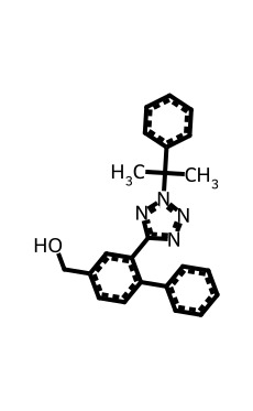 CC(C)(c1ccccc1)n1nnc(-c2cc(CO)ccc2-c2ccccc2)n1